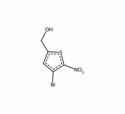 O=[N+]([O-])c1sc(CO)cc1Br